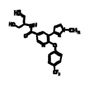 Cn1ccc(-c2cc(C(=O)NC(CO)CO)cnc2Oc2ccc(C(F)(F)F)cc2)n1